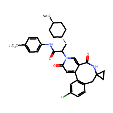 CCOC(=O)c1ccc(NC(=O)C(C[C@H]2CC[C@H](OC)CC2)n2cc3c(cc2=O)-c2cc(Cl)ccc2CC2(CC2)NC3=O)cc1